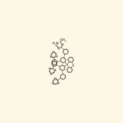 C=C/N=C(\N=C/N)c1cccc(-c2cc(-c3cccc(-c4ncncn4)c3)cc(C3(c4cc(-c5cccc(-c6ncncn6)c5)cc(-c5cccc(-c6ncncn6)c5)c4)c4ccccc4Sc4ccccc43)c2)c1